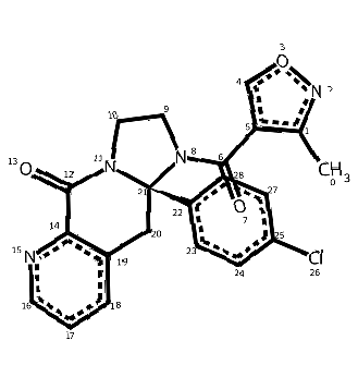 Cc1nocc1C(=O)N1CCN2C(=O)c3ncccc3C[C@@]12c1ccc(Cl)cc1